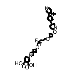 Cn1c2ccncc2c2ccc(-c3ccc(O[C@H]4C[C@H](OCCCC(F)(F)COC5CC6(C5)CN(c5ccc(C(=O)O)c(C(=O)O)c5)C6)C4)nc3)cc21